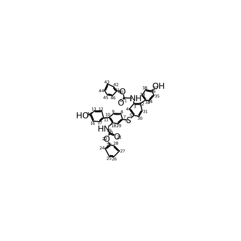 O=C(Nc1cc(Sc2ccc(-c3ccc(O)cc3)c(NC(=O)Oc3ccccc3)c2)ccc1-c1ccc(O)cc1)Oc1ccccc1